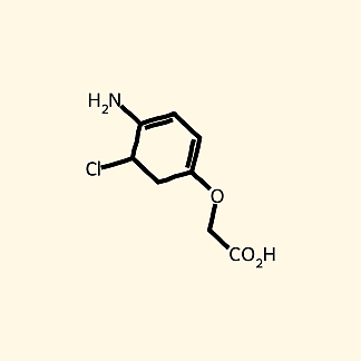 NC1=CC=C(OCC(=O)O)CC1Cl